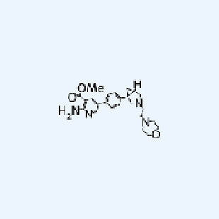 COC(=O)c1cc(-c2ccc([C@@]34C[C@@H]3CN(CCN3CCOCC3)C4)cc2)cnc1N